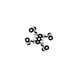 O=C1c2c(NCCN3CCOC34CCCCC4)ccc(NCCN3CCOC34CCCCC4)c2C(=O)c2c(NCCN3CCOC34CCCCC4)ccc(NCCN3CCOC34CCCCC4)c21